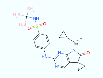 BC(B)(B)NS(=O)(=O)c1ccc(Nc2ncc3c(n2)N([C@@H](C)C2CC2)C(=O)C32CC2)cc1